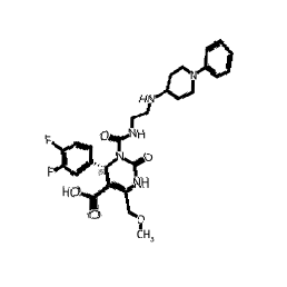 COCC1=C(C(=O)O)[C@H](c2ccc(F)c(F)c2)N(C(=O)NCCNC2CCN(c3ccccc3)CC2)C(=O)N1